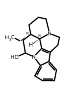 CC[C@@]12CCCN3CCc4c(n(c5ccccc45)C(O)C1)[C@H]32